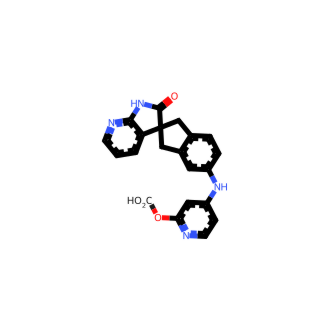 O=C(O)Oc1cc(Nc2ccc3c(c2)CC2(C3)C(=O)Nc3ncccc32)ccn1